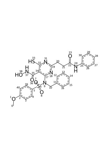 COc1ccc(S(=O)(=O)N(Cc2ccccc2)c2nc(CCC(=O)Nc3ccccc3)nc(S)c2C(=O)NO)cc1